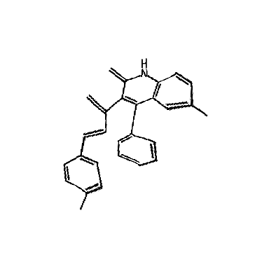 C=C(/C=C/c1ccc(C)cc1)C1=C(c2ccccc2)c2cc(C)ccc2NC1=C